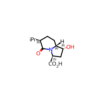 CC(C)[C@H]1CC[C@@H]2[C@H](O)C[C@@H](C(=O)O)N2C1=O